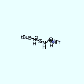 C/C(=N\NC(=O)C(C)(C)CCC(C)(C)NCCSSCCC(=O)NCCCOCC(C)(C)C)C(C)C